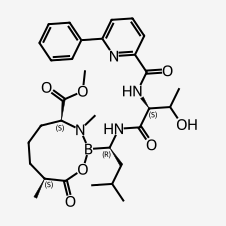 COC(=O)[C@@H]1CCC[C@H](C)C(=O)OB([C@H](CC(C)C)NC(=O)[C@@H](NC(=O)c2cccc(-c3ccccc3)n2)C(C)O)N1C